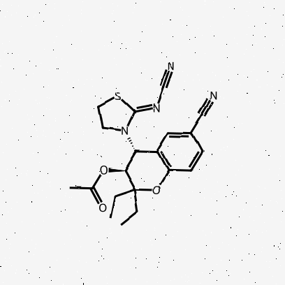 CCC1(CC)Oc2ccc(C#N)cc2[C@@H](N2CCSC2=NC#N)[C@@H]1OC(C)=O